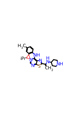 C=C(NC1CCNCC1)c1nc2c(Nc3ccc(C)cc3OC(C)C)ncnc2s1